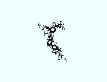 O=C(NCCO)c1ccc(Nc2nc3ccc(-c4ccc(C(=O)NCC(F)(F)F)cc4)cn3n2)c(OCC(F)(F)F)c1